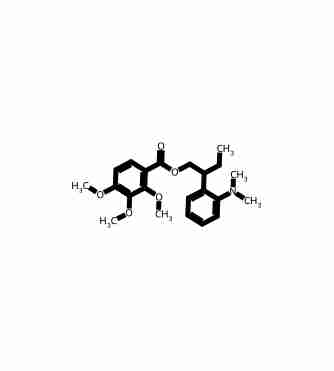 CCC(COC(=O)c1ccc(OC)c(OC)c1OC)c1ccccc1N(C)C